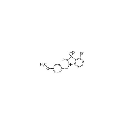 COc1ccc(CN2C(=O)C3(CO3)c3c(Br)cccc32)cc1